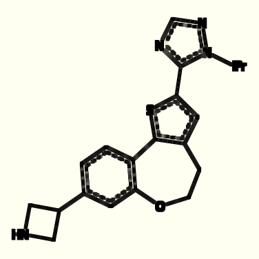 CC(C)n1ncnc1-c1cc2c(s1)-c1ccc(C3CNC3)cc1OCC2